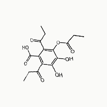 CCC(=O)Oc1c(O)c(O)c(C(=O)CC)c(C(=O)O)c1C(=O)CC